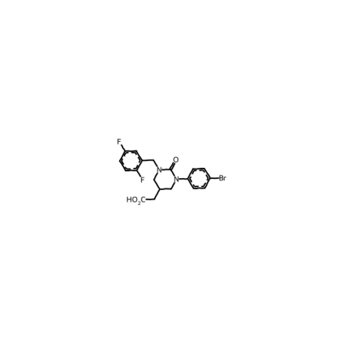 O=C(O)CC1CN(Cc2cc(F)ccc2F)C(=O)N(c2ccc(Br)cc2)C1